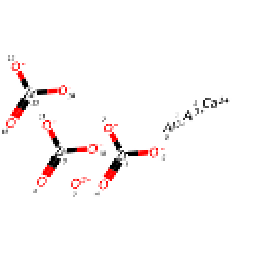 [Al+3].[Al+3].[Ca+2].[O-2].[O]=[Zr]([O-])[O-].[O]=[Zr]([O-])[O-].[O]=[Zr]([O-])[O-]